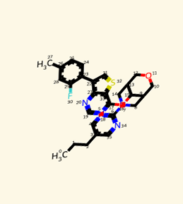 CCCc1cnc(N2CC3COCC(C2)C3Oc2ncnc3c(-c4ccc(C)cc4F)csc23)nc1